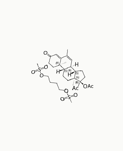 CC(=O)O[C@]1(C(C)=O)CC[C@H]2[C@@H]3C=C(C)C4=CC(=O)CC[C@]4(C)[C@H]3CC[C@@]21C.CS(=O)(=O)OCCCCOS(C)(=O)=O